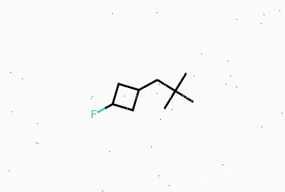 CC(C)(C)CC1CC(F)C1